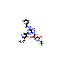 COc1cncc(-c2nc(NCc3ccccn3)c3ncn([C@@H]4O[C@H](C(=O)NCC(F)(F)F)C[C@H]4O)c3n2)c1